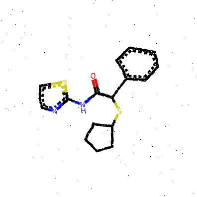 O=C(Nc1nccs1)C(SC1CCCC1)c1ccccc1